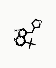 CC(C)(C)c1ccnc2[nH]cc(CC3CCOC3)c12